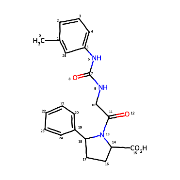 Cc1cccc(NC(=O)NCC(=O)N2C(C(=O)O)CCC2c2ccccc2)c1